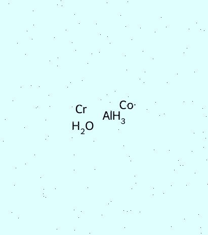 O.[AlH3].[Co].[Cr]